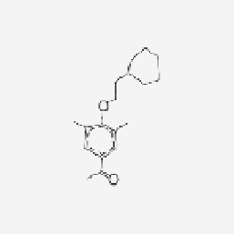 CC(=O)c1cc(C)c(OCCC2CCCCC2)c(C)c1